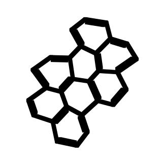 c1cc2ccc3ccc4c5cccc6ccc7ccc8c(c1)c2c3c4c8c7c65